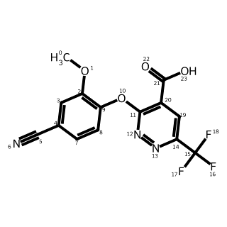 COc1cc(C#N)ccc1Oc1nnc(C(F)(F)F)cc1C(=O)O